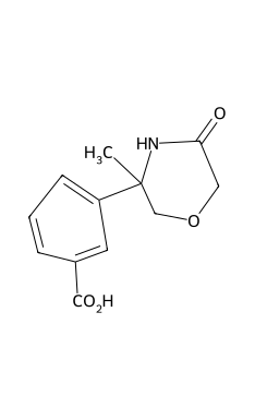 CC1(c2cccc(C(=O)O)c2)COCC(=O)N1